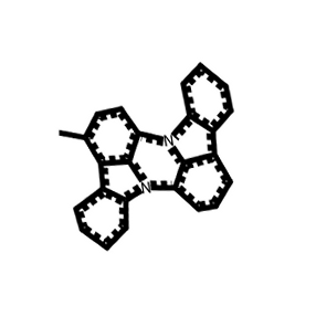 Cc1ccc2c3c1c1ccccc1n3c1cccc3c4ccccc4n2c31